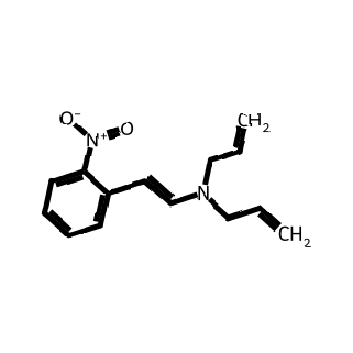 C=CCN(C=Cc1ccccc1[N+](=O)[O-])CC=C